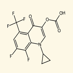 O=C(O)Oc1cn(C2CC2)c2c(F)c(F)cc(C(F)(F)F)c2c1=O